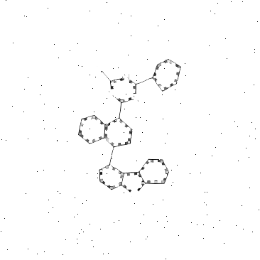 Clc1nc(-c2ccccc2)nc(-c2ccc(-c3cccc4oc5ccccc5c34)c3ccccc23)n1